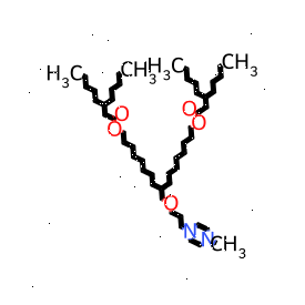 CCCCCC(CCCCC)CC(=O)OCCCCCCCCC(CCCCCCCCOC(=O)CC(CCCCC)CCCCC)COCCCN1CCN(C)CC1